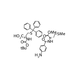 CC(C)(C)OC(=O)N[C@@H](CSC(c1ccccc1)(c1ccccc1)c1ccccc1)C(=O)O.COC(=O)[C@H](CCSC)NC(=O)c1ccc(N)cc1